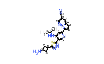 CC(C)Nc1cc(-c2ccc3cc(C#N)cnn23)ncc1-c1nnc(C2CC(N)C2)s1